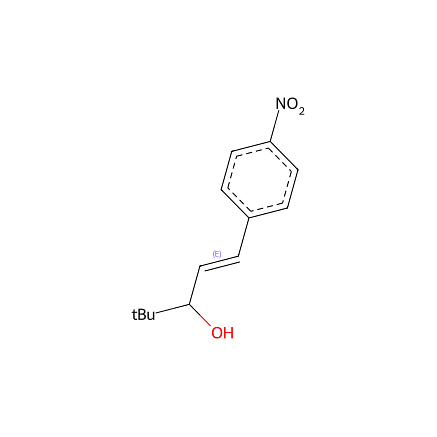 CC(C)(C)C(O)/C=C/c1ccc([N+](=O)[O-])cc1